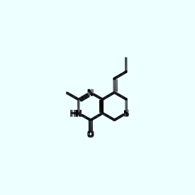 CCC=C1CSCc2c1nc(C)[nH]c2=O